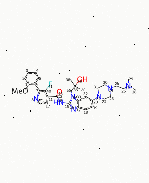 COc1ccccc1-c1nccc(C(=O)Nc2nc3ccc(N4CCN(CCN(C)C)CC4)cc3n2CC(C)(C)O)c1F